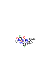 COc1ccccc1-c1nc2c(n1C(C)C)C1(C(=O)Nc3cc(Cl)ccc31)N(c1cc(Cl)c(=O)n(C)c1)C2=O